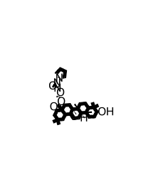 CC1(C)CCC2(C(=O)OCOn3on3N3CCCC3)CC[C@]3(C)C(=CC[C@@H]4[C@@]5(C)CC[C@H](O)C(C)(C)C5CC[C@]43C)C2C1